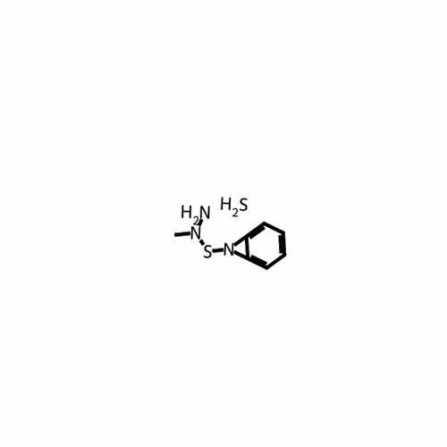 CN(N)SN1c2ccccc21.S